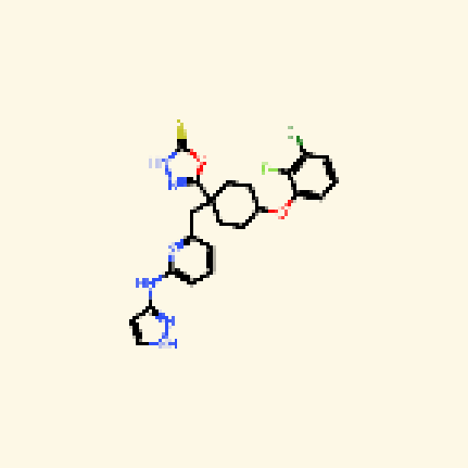 Fc1c(Cl)cccc1OC1CCC(Cc2cccc(Nc3cc[nH]n3)n2)(c2n[nH]c(=S)o2)CC1